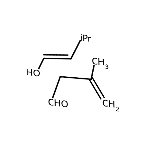 C=C(C)CC=O.CC(C)/C=C/O